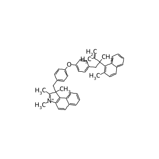 C=C(C)C(C)(Cc1ccc(Oc2ccc(CC3(C)C(C)=[N+](C)c4ccc5ccccc5c43)cc2)cc1)c1c(C)ccc2ccccc12